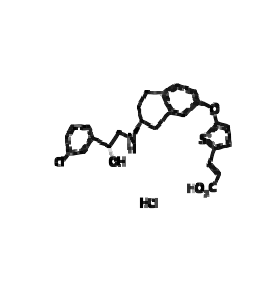 Cl.O=C(O)/C=C/c1ccc(Oc2ccc3c(c2)C[C@@H](NC[C@H](O)c2cccc(Cl)c2)CC3)s1